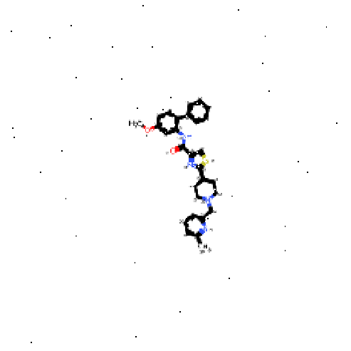 COc1ccc(-c2ccccc2)c(NC(=O)c2csc(C3CCN(Cc4cccc(C)n4)CC3)n2)c1